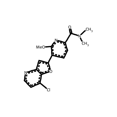 COc1nc(C(=O)N(C)C)ccc1-c1cc2nccc(Cl)c2o1